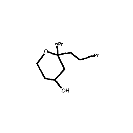 CCCC1(CCC(C)C)CC(O)CCO1